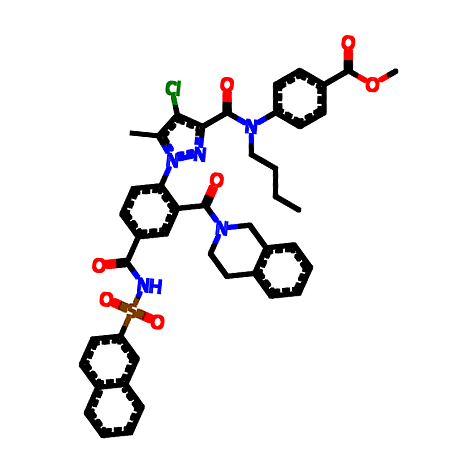 CCCCN(C(=O)c1nn(-c2ccc(C(=O)NS(=O)(=O)c3ccc4ccccc4c3)cc2C(=O)N2CCc3ccccc3C2)c(C)c1Cl)c1ccc(C(=O)OC)cc1